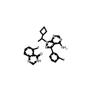 CC(C1CCC1)n1nc(-c2cccc(F)c2)c2c(N)ncnc21.O=c1[nH]cnc2cccc(F)c12